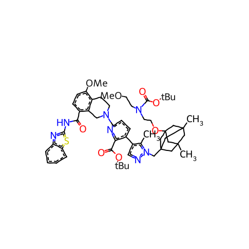 COCCN(CCOC12CC3(C)CC(C)(CC(Cn4ncc(-c5ccc(N6CCc7c(OC)ccc(C(=O)Nc8nc9ccccc9s8)c7C6)nc5C(=O)OC(C)(C)C)c4C)(C3)C1)C2)C(=O)OC(C)(C)C